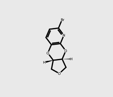 Brc1ccc2c(n1)O[C@H]1COC[C@@H]1O2